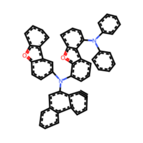 c1ccc2c(c#1)c(N(c1ccc3oc4ccccc4c3c1)c1cccc3c1oc1cccc(N(c4ccccc4)c4ccccc4)c13)cc1ccccc12